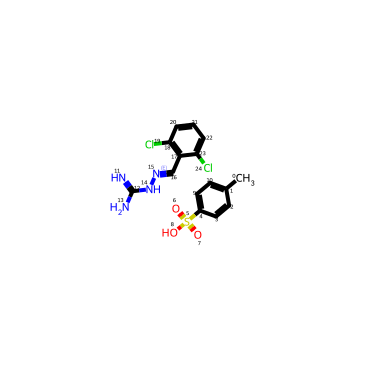 Cc1ccc(S(=O)(=O)O)cc1.N=C(N)N/N=C/c1c(Cl)cccc1Cl